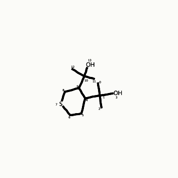 CC(C)(O)C1CCSCC1C(C)(C)O